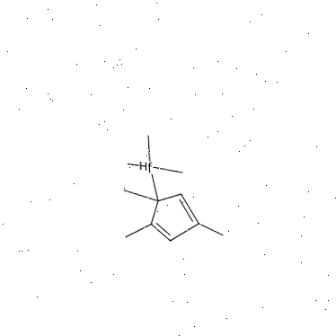 CC1=C[C](C)([Hf]([CH3])([CH3])[CH3])C(C)=C1